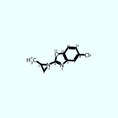 CC1CN1c1nc2cc(Cl)ccc2o1